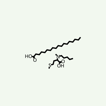 CCCCCCCCCCCCCCCCCC(=O)O.CCCCCN(C)C(CCSC)C(=O)O